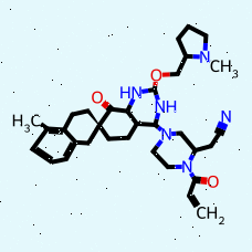 C=CC(=O)N1CCN(C2NC(OCC3CCCN3C)NC3C(=O)[C@]4(CCc5c(C)cccc5C4)CCC32)CC1CC#N